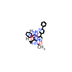 CC(=O)Nc1c(C2CC2)c([C@H]2C[C@H]3CC[C@@H](C2)N3C(=O)c2nnc[nH]2)nc2c(-c3ccc(-c4ccccc4)nc3)cnn12